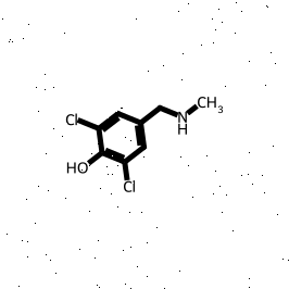 CNCc1cc(Cl)c(O)c(Cl)c1